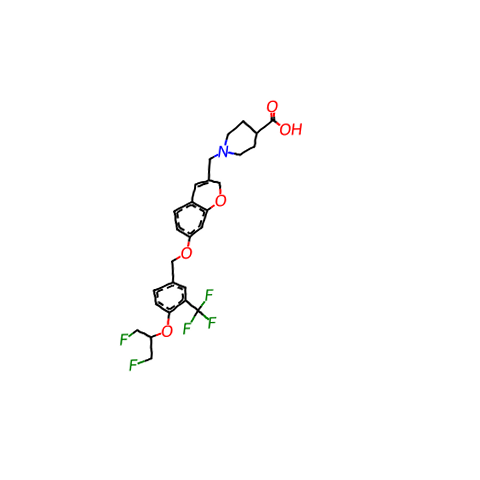 O=C(O)C1CCN(CC2=Cc3ccc(OCc4ccc(OC(CF)CF)c(C(F)(F)F)c4)cc3OC2)CC1